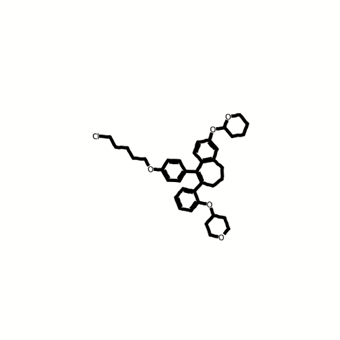 ClCCCCCOc1ccc(C2=C(c3ccccc3OC3CCOCC3)CCCc3cc(OC4CCCCO4)ccc32)cc1